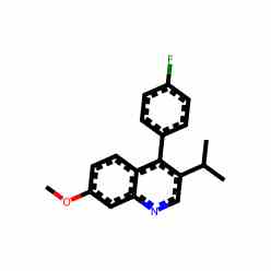 COc1ccc2c(-c3ccc(F)cc3)c(C(C)C)cnc2c1